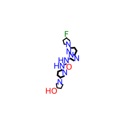 O=C(Nc1ccc(N2CCC(O)C2)cn1)Nc1cnc2ccc(N3CCC(F)C3)nn12